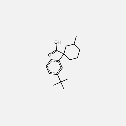 CC1CCCC(C(=O)O)(c2cccc(C(C)(C)C)c2)C1